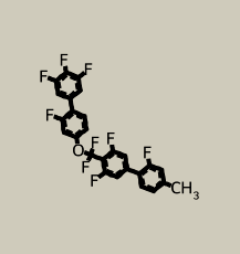 Cc1ccc(-c2cc(F)c(C(F)(F)Oc3ccc(-c4cc(F)c(F)c(F)c4)c(F)c3)c(F)c2)c(F)c1